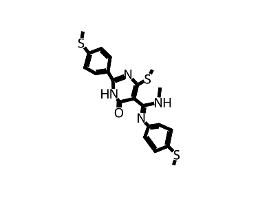 CNC(=Nc1ccc(SC)cc1)c1c(SC)nc(-c2ccc(SC)cc2)[nH]c1=O